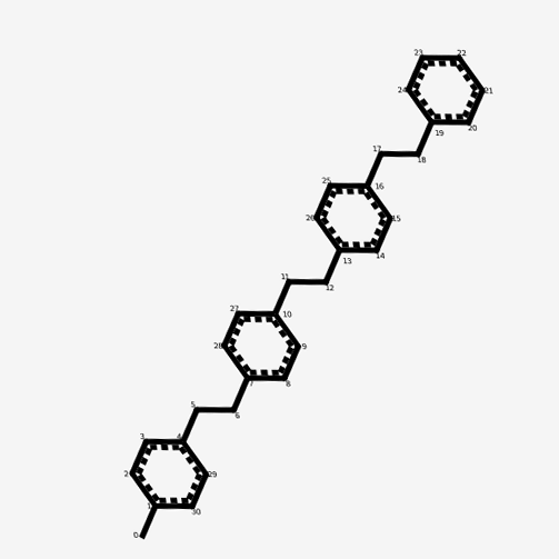 Cc1ccc(CCc2ccc(CCc3ccc(CCc4ccccc4)cc3)cc2)cc1